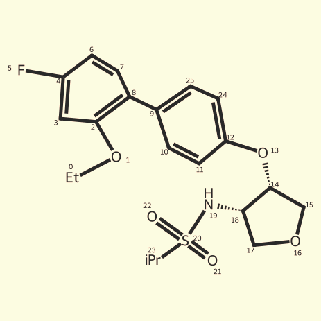 CCOc1cc(F)ccc1-c1ccc(O[C@@H]2COC[C@@H]2NS(=O)(=O)C(C)C)cc1